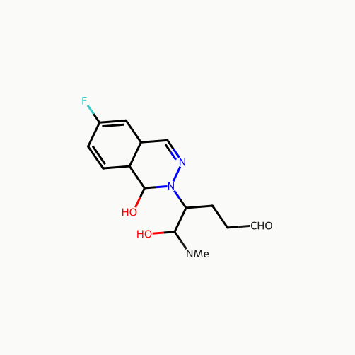 CNC(O)C(CCC=O)N1N=CC2C=C(F)C=CC2C1O